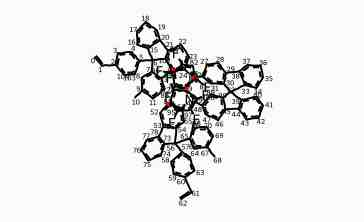 C=Cc1ccc(C2(c3cc(C)ccc3C)c3ccccc3-c3ccc(N(c4ccc5c(c4)C4(c6ccccc6-5)c5ccccc5-c5ccc(N(c6ccc7c(c6)C(c6ccc(C=C)cc6)(c6cc(C)ccc6C)c6ccccc6-7)c6c(F)cc(F)c(F)c6F)cc54)c4c(F)cc(F)c(F)c4F)cc32)cc1